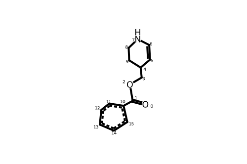 O=C(OCC1C=CNCC1)c1ccccc1